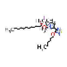 CCCCCCCCCCCC(=O)OC(C(C)C)[N+]1(C)CCC=C(c2nsnc2OCCCCCC)C1.[I-]